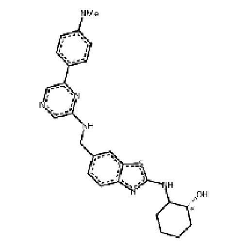 CNc1ccc(-c2cncc(NCc3ccc4nc(NC5CCCC[C@H]5O)sc4c3)n2)cc1